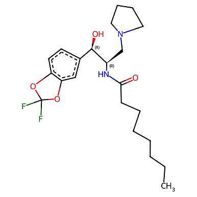 CCCCCCCC(=O)N[C@H](CN1CCCC1)[C@H](O)c1ccc2c(c1)OC(F)(F)O2